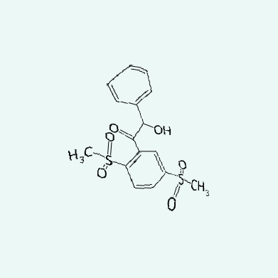 CS(=O)(=O)c1ccc(S(C)(=O)=O)c(C(=O)C(O)c2ccccc2)c1